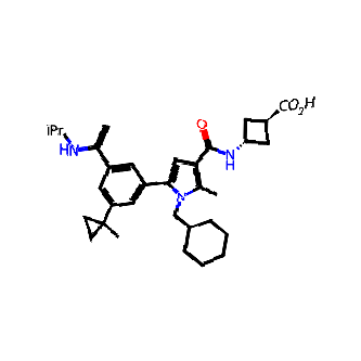 C=C(NC(C)C)c1cc(-c2cc(C(=O)N[C@H]3C[C@H](C(=O)O)C3)c(C)n2CC2CCCCC2)cc(C2(C)CC2)c1